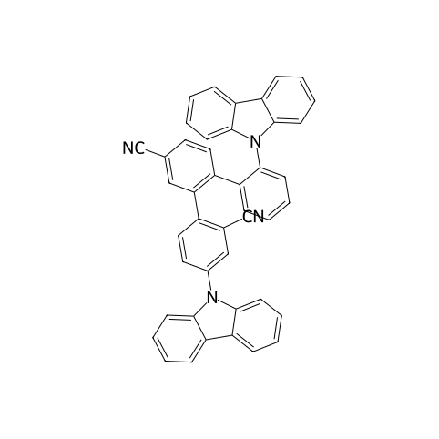 N#Cc1ccc(-c2ccccc2-n2c3ccccc3c3ccccc32)c(-c2ccc(-n3c4ccccc4c4ccccc43)cc2C#N)c1